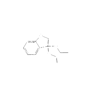 CCOC1(OCC)COc2ccccc21